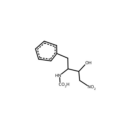 O=C(O)NC(Cc1ccccc1)C(O)C[N+](=O)[O-]